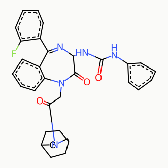 O=C(Nc1ccccc1)NC1N=C(c2ccccc2F)c2ccccc2N(CC(=O)N2CC3CCC(CC3)C2)C1=O